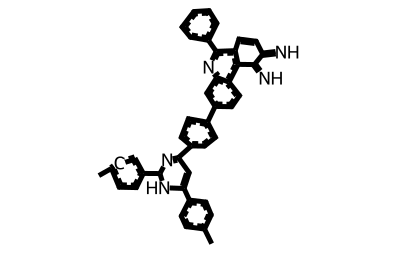 Cc1ccc(C2=CC(c3ccc(-c4ccc5c6c(c(-c7ccccc7)nc5c4)C=CC(=N)C6=N)cc3)=NC(c3ccc(C)cc3)N2)cc1